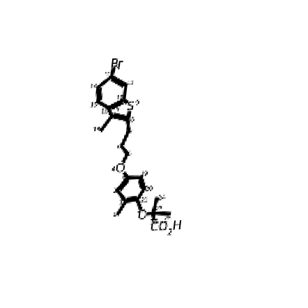 Cc1cc(OCCCc2sc3cc(Br)ccc3c2C)ccc1OC(C)(C)C(=O)O